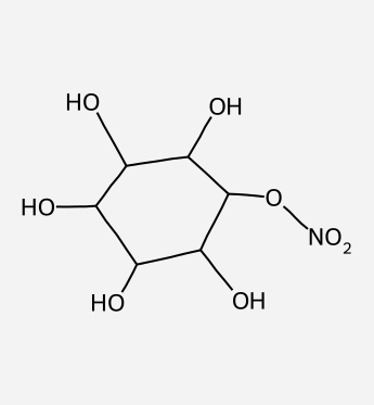 O=[N+]([O-])OC1C(O)C(O)C(O)C(O)C1O